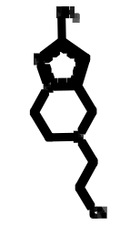 N#CCCN1CCn2nc(N)cc2C1